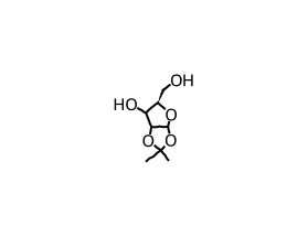 CC1(C)OC2O[C@H](CO)C(O)C2O1